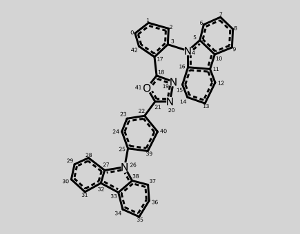 c1ccc(-n2c3ccccc3c3ccccc32)c(-c2nnc(-c3ccc(-n4c5ccccc5c5ccccc54)cc3)o2)c1